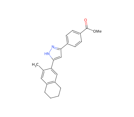 COC(=O)c1ccc(-c2cc(-c3cc4c(cc3C)CCCC4)[nH]n2)cc1